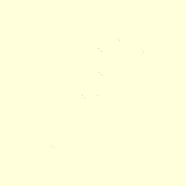 N#CCc1ccccc1C(=O)N1CC2CC1CN2c1ncnc2[nH]ccc12